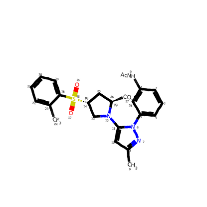 CC(=O)Nc1cccc(-n2nc(C)cc2N2C[C@H](S(=O)(=O)c3ccccc3C(F)(F)F)C[C@H]2C(=O)O)c1